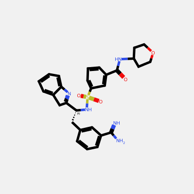 N=C(N)c1cccc(C[C@@H](NS(=O)(=O)c2cccc(C(=O)NC3CCOCC3)c2)C2=Nc3ccccc3C2)c1